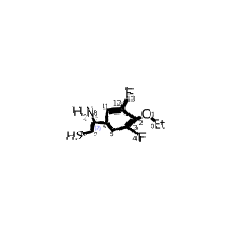 CCOc1c(F)cc(/C(N)=C/S)cc1F